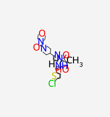 CC(C)(CO)C(=O)n1nc(C2CCN(C(=O)N3CCOCC3)CC2)cc1NCc1ccc(Cl)s1